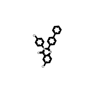 O=c1c2cc(Cl)ccc2nc(-c2ccc(-c3ccccc3)cc2)n1-c1ccc(Cl)cc1